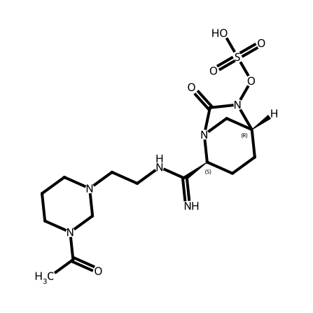 CC(=O)N1CCCN(CCNC(=N)[C@@H]2CC[C@@H]3CN2C(=O)N3OS(=O)(=O)O)C1